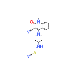 Cn1c(=O)c(C#N)c(N2CCC(NCSC#N)CC2)c2ccccc21